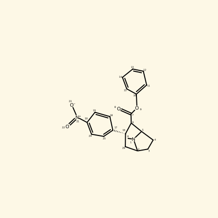 CN1C2CCC1C(C(=O)Oc1ccccc1)[C@@H](c1ccc([N+](=O)[O-])cc1)C2